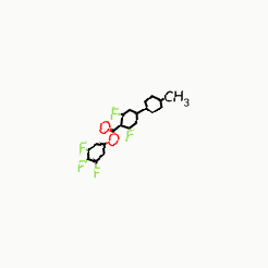 CC1CCC(C2CC(F)C(C(=O)OC3CC(F)C(F)C(F)C3)C(F)C2)CC1